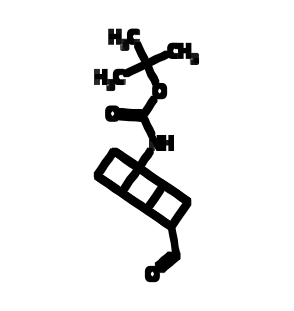 CC(C)(C)OC(=O)NC12C3C4C1C1C2C3C41C=O